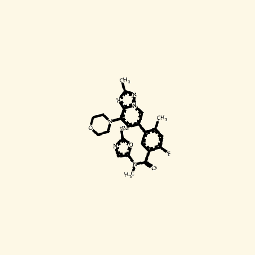 Cc1nc2c(N3CCOCC3)cc(-c3cc(C(=O)N(C)c4cnc(C(C)(C)C)o4)c(F)cc3C)cn2n1